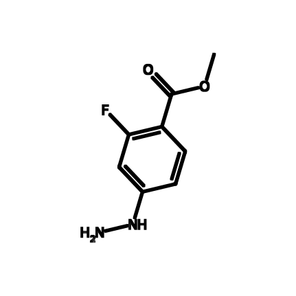 COC(=O)c1ccc(NN)cc1F